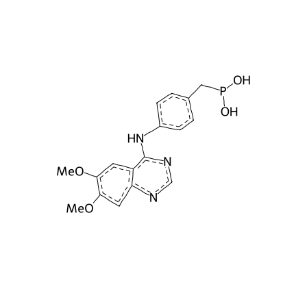 COc1cc2ncnc(Nc3ccc(CP(O)O)cc3)c2cc1OC